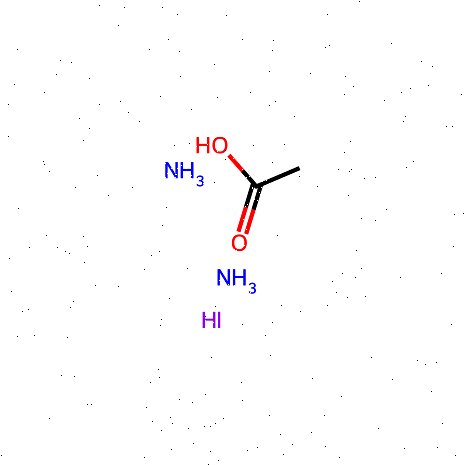 CC(=O)O.I.N.N